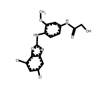 COc1cc(NC(=O)CO)ccc1Nc1nc2cc(Cl)cc(Cl)c2o1